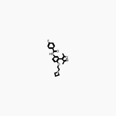 Cc1noc(C)c1-c1cc(NC(=O)c2ccc(F)cc2)ccc1OCCN1CCC1